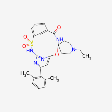 CCN1CCC2(CC1)NC(=O)c1cccc(c1)S(=O)(=O)Nc1nc(cc(-c3c(C)cccc3C)n1)O2